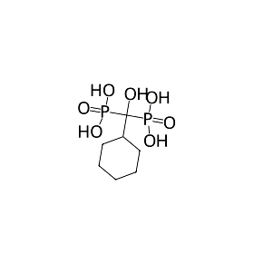 O=P(O)(O)C(O)(C1CCCCC1)P(=O)(O)O